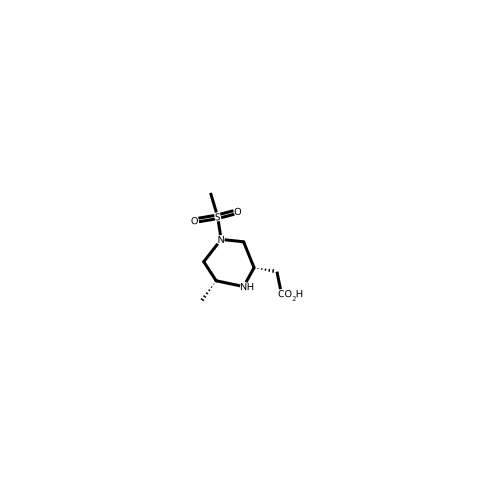 C[C@@H]1CN(S(C)(=O)=O)C[C@H](CC(=O)O)N1